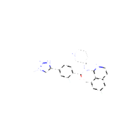 Cc1cc(Cl)cc2ccnc(N(C(=O)c3ccc(-c4cn(C)nn4)cc3F)[C@@H]3CCCNC3)c12